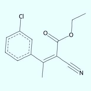 CCOC(=O)/C(C#N)=C(/C)c1cccc(Cl)c1